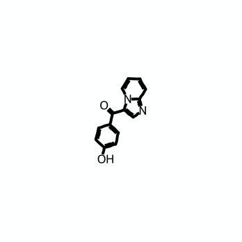 O=C(c1ccc(O)cc1)c1cnc2ccccn12